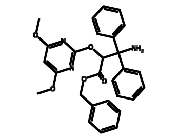 COc1cc(OC)nc(OC(C(=O)OCc2ccccc2)C(N)(c2ccccc2)c2ccccc2)n1